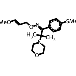 CO/C=C/CO/N=C(/c1ccc(SC)cc1)C(C)(C)N1CCOCC1